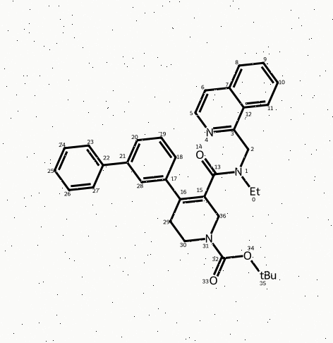 CCN(Cc1nccc2ccccc12)C(=O)C1=C(c2cccc(-c3ccccc3)c2)CCN(C(=O)OC(C)(C)C)C1